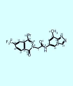 Cc1cc(NC(=O)Cn2nc(C(C)C)c3cc(C(F)(F)F)ccc3c2=O)cn2cnnc12